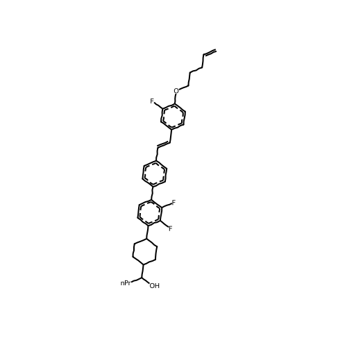 C=CCCCOc1ccc(/C=C/c2ccc(-c3ccc(C4CCC(C(O)CCC)CC4)c(F)c3F)cc2)cc1F